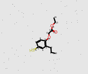 CCCc1cc(S)ccc1OCC(=O)OCC